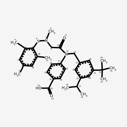 Cc1cc(C)c(SN(C)CC(=O)N(Cc2cc(C(C)C)cc(C(C)(C)C)c2)c2ccc(C(=O)O)cc2)c(C)c1